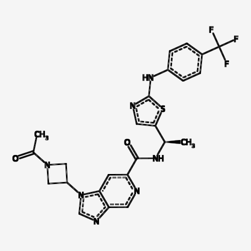 CC(=O)N1CC(n2cnc3cnc(C(=O)N[C@H](C)c4cnc(Nc5ccc(C(F)(F)F)cc5)s4)cc32)C1